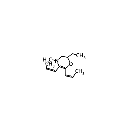 C/C=C\C1=C(/C=C\C)N(C)CC(CC)O1